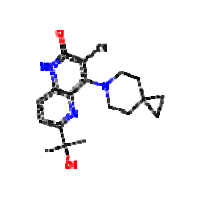 CC(C)(O)c1ccc2[nH]c(=O)c(C#N)c(N3CCC4(CC3)CC4)c2n1